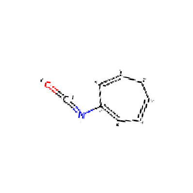 O=C=NC1=CC=CCC=C1